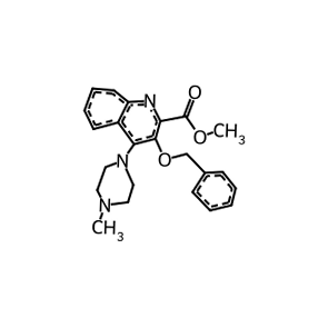 COC(=O)c1nc2ccccc2c(N2CCN(C)CC2)c1OCc1ccccc1